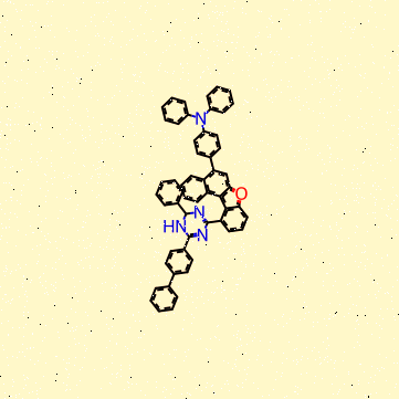 c1ccc(-c2ccc(C3=NC(c4cccc5oc6cc(-c7ccc(N(c8ccccc8)c8ccccc8)cc7)c7ccccc7c6c45)=NC(c4ccccc4)N3)cc2)cc1